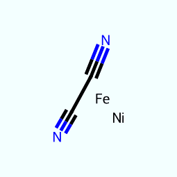 N#CC#N.[Fe].[Ni]